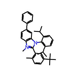 Cc1ccc(C(C)(C)C)cc1-c1n(-c2c(C(C)C)cccc2C(C)C)c2cc(-c3ccccc3)ccc2[n+]1C